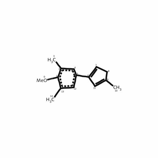 COc1c(C)cc(C2=CCC(C)=C2)cc1C